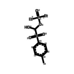 CCP(=O)(CC)OC(O)S(=O)(=O)c1ccc(C)cc1